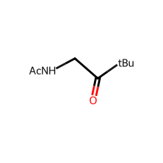 CC(=O)NCC(=O)C(C)(C)C